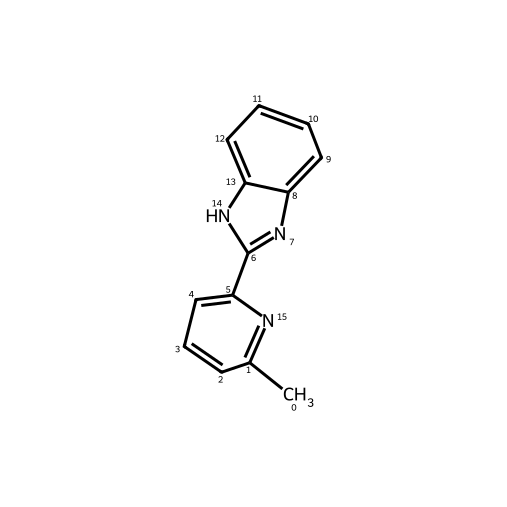 Cc1cccc(-c2nc3ccccc3[nH]2)n1